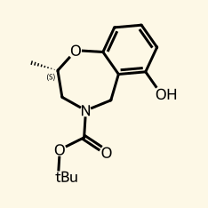 C[C@H]1CN(C(=O)OC(C)(C)C)Cc2c(O)cccc2O1